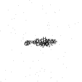 Cc1c(Nc2nccc3cc(CN4CCCC4C(=O)O)cnc23)cccc1-c1cccc(OCCCN2CCOCC2)c1C